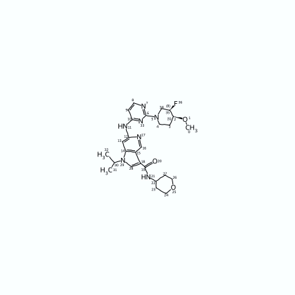 CO[C@H]1CCN(c2nccc(Nc3cc4c(cn3)c(C(=O)NC3CCOCC3)cn4C(C)C)n2)C[C@H]1F